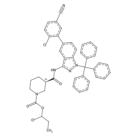 CCC(Cl)OC(=O)N1CCC[C@@H](C(=O)Nc2nn(C(c3ccccc3)(c3ccccc3)c3ccccc3)c3ccc(-c4cc(C#N)ccc4Cl)cc23)C1